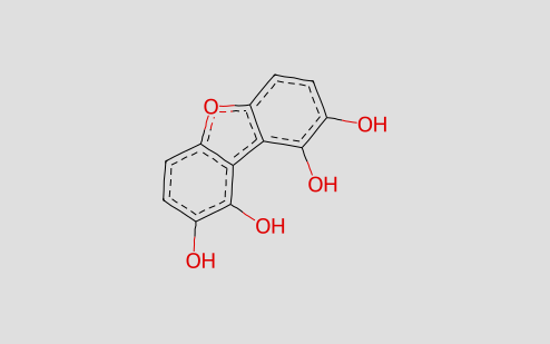 Oc1ccc2oc3ccc(O)c(O)c3c2c1O